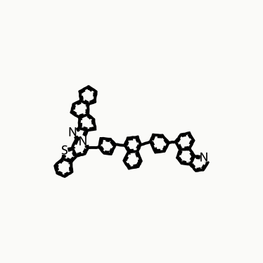 c1ccc2c(c1)ccc1c2ccc2c1nc1c3sc4ccccc4c3cc(-c3ccc(-c4ccc(-c5ccc(-c6cccc7c6ccc6cccnc67)cc5)c5ccccc45)cc3)n21